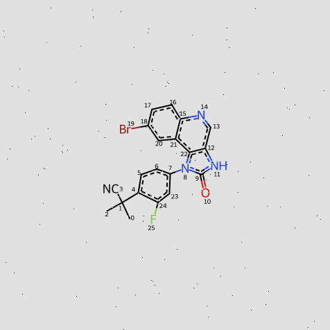 CC(C)(C#N)c1ccc(-n2c(=O)[nH]c3cnc4ccc(Br)cc4c32)cc1F